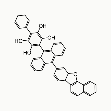 Oc1c(O)c(-c2c3ccccc3c(C3=CC4Oc5c(ccc6ccccc56)C4C=C3)c3ccccc23)c(O)c(O)c1C1=CCCC=C1